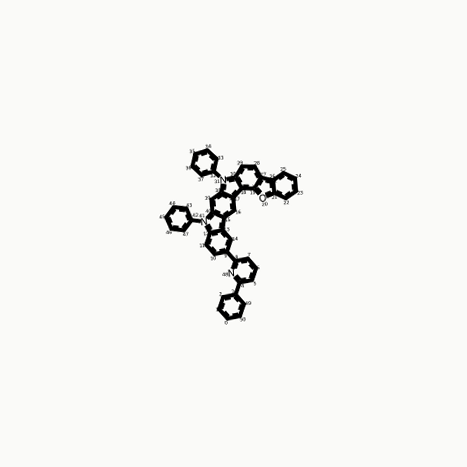 c1ccc(-c2cccc(-c3ccc4c(c3)c3cc5c6c7oc8ccccc8c7ccc6n(-c6ccccc6)c5cc3n4-c3ccccc3)n2)cc1